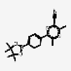 Cc1nc(C)c(C2=CC=C(B3OC(C)(C)C(C)(C)O3)CC2)nc1C#N